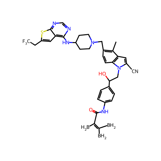 BC(B)=C(B)C(=O)Nc1ccc(C(O)Cn2c(C#N)cc3c(C)c(CN4CCC(Nc5ncnc6sc(CC(F)(F)F)cc56)CC4)ccc32)cc1